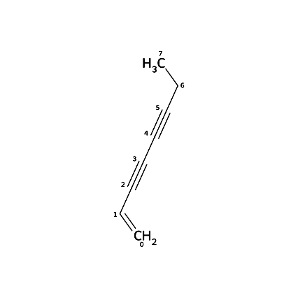 C=CC#CC#CCC